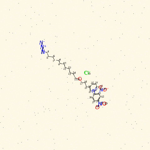 [Cl-].[N-]=[N+]=NCCCCCCCCCCCCOCCCc1ccc[n+](-c2ccc([N+](=O)[O-])cc2[N+](=O)[O-])c1